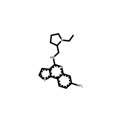 CCN1CCCC1CNc1nc2cc(N)ccc2c2sccc12